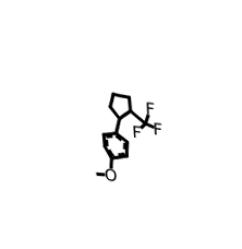 COc1ccc(C2CCCC2C(F)(F)F)cc1